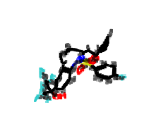 C#CC(=O)CC1CCc2cc(C(O)(C(F)(F)F)C(F)(F)F)ccc2N1S(=O)(=O)c1ccc(F)cc1